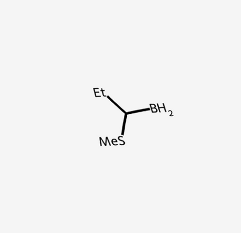 BC(CC)SC